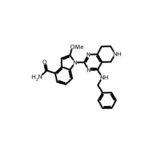 COc1cc2c(C(N)=O)cccc2n1-c1nc2c(c(NCc3ccccc3)n1)CNCC2